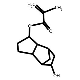 C=C(C)C(=O)OC1CCC2C3CC(CC3O)C12